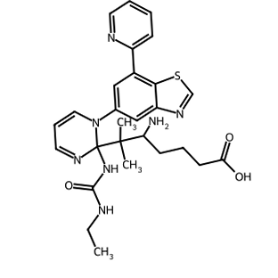 CCNC(=O)NC1(C(C)(C)C(N)CCCC(=O)O)N=CC=CN1c1cc(-c2ccccn2)c2scnc2c1